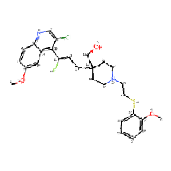 COc1ccc2ncc(Cl)c(C(F)CCC3(CO)CCN(CCSc4ccccc4OC)CC3)c2c1